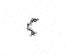 C/C(=C\C(=O)N(C)OCCC(C)(C)OC(=O)N1CC2(C1)OCc1cc(Br)ccc12)c1cc(Cl)c(F)c(Cl)c1